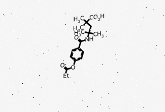 CCC(=O)Oc1ccc(C(=O)NC(C)(C)CC(C)(C)C(=O)O)cc1